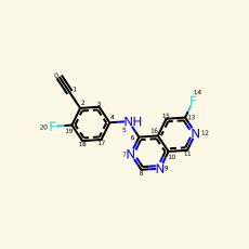 C#Cc1cc(Nc2ncnc3cnc(F)cc23)ccc1F